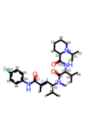 C/C(=C\[C@H](C(C)C)N(C)C(=O)[C@@H](NC(=O)C1CCCCN1C(C)C)C(C)C)C(=O)Nc1ccc(F)cc1